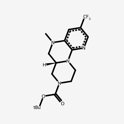 CN1C[C@H]2CN(C(=O)OC(C)(C)C)CCN2c2ncc(C(F)(F)F)cc21